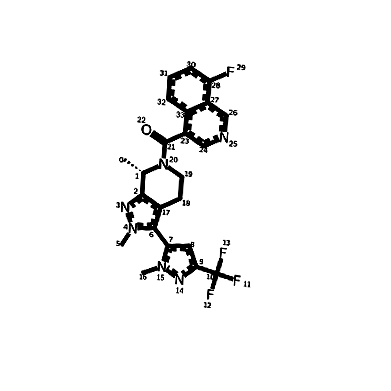 C[C@H]1c2nn(C)c(-c3cc(C(F)(F)F)nn3C)c2CCN1C(=O)c1cncc2c(F)cccc12